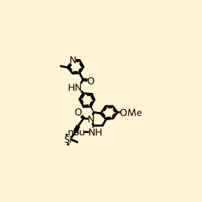 CCCCN[C@H]1Cc2cc(OC)ccc2[C@H](c2ccc(NC(=O)c3ccnc(C)c3)cc2)N1C(=O)C#C[Si](C)(C)C